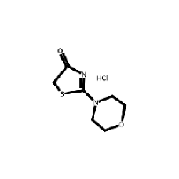 Cl.O=C1CSC(N2CCOCC2)=N1